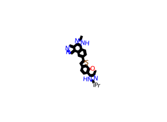 Cc1nc2c3cnncc3c3cc(-c4cc5ccc6c(c5s4)OCc4nc(C(C)C)[nH]c4-6)ccc3c2[nH]1